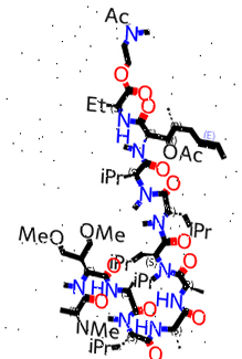 C/C=C/C[C@@H](C)[C@@H](OC(C)=O)[C@@H](C(=O)N[C@@H](CC)C(=O)OCCN(C)C(C)=O)N(C)C(=O)[C@H](C(C)C)N(C)C(=O)[C@H](CC(C)C)N(C)C(=O)[C@H](CC(C)C)N(C)C(=O)[C@@H](C)NC(=O)[C@H](C)NC(=O)[C@H](CC(C)C)N(C)C(=O)[C@@H](NC(=O)[C@H](C(COC)COC)N(C)C(=O)[C@@H](C)NC)C(C)C